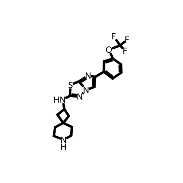 FC(F)(F)Oc1cccc(-c2cn3nc(NC4CC5(CCNCC5)C4)sc3n2)c1